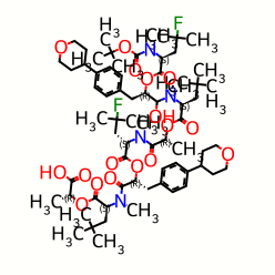 C[C@@H](OC(=O)[C@H](CC(C)(C)C)N(C)C(=O)[C@@H](Cc1ccc(C2CCOCC2)cc1)OC(=O)[C@H](CC(C)(C)F)N(C)C(=O)[C@@H](C)OC(=O)[C@H](CC(C)(C)C)N(C)C(O)[C@@H](Cc1ccc(C2CCOCC2)cc1)OC(=O)[C@H](CC(C)(C)F)N(C)C(=O)OC(C)(C)C)C(=O)O